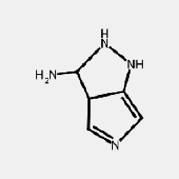 NC1NNC2=CN=CC21